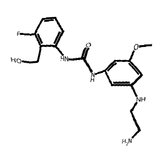 COc1cc(NCCN)cc(NC(=O)Nc2cccc(F)c2CO)c1